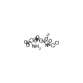 CC1(COc2c(N3CCN(S(=O)(=O)Cc4ccc([N+](=O)[O-])c(CN)c4)CC3)cnn(-c3cccc(Cl)c3)c2=O)CC1